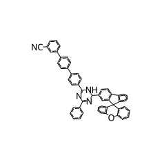 N#Cc1cccc(-c2ccc(-c3ccc(C4=NC(c5ccccc5)=NC(c5ccc6c(c5)C5(c7ccccc7Oc7ccccc75)c5ccccc5-6)N4)cc3)cc2)c1